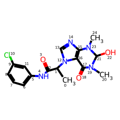 CC(C(=O)Nc1cccc(Cl)c1)n1cnc2c1C(=O)N(C)C(O)N2C